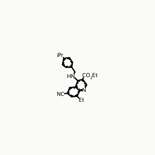 CCOC(=O)c1cnc2c(CC)cc(C#N)cc2c1NCc1ccc(C(C)C)cc1